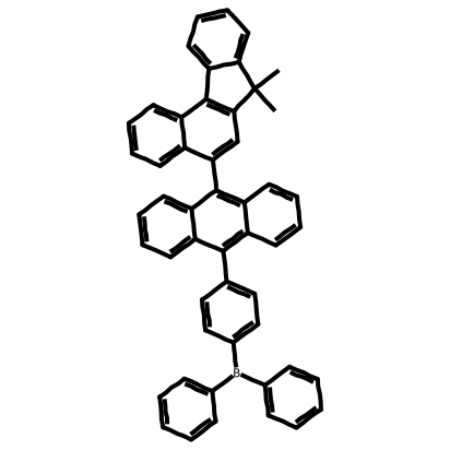 CC1(C)c2ccccc2-c2c1cc(-c1c3ccccc3c(-c3ccc(B(c4ccccc4)c4ccccc4)cc3)c3ccccc13)c1ccccc21